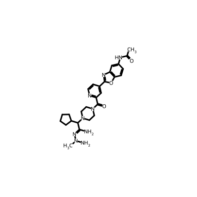 CC(=O)Nc1ccc2oc(-c3ccnc(C(=O)N4CCN(C(/C(N)=N/N(C)N)C5CCCC5)CC4)c3)nc2c1